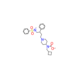 COC(=O)N(CC1CCC1)C1CCN(CCC(CN(C)S(=O)(=O)c2ccccc2)c2ccccc2)CC1